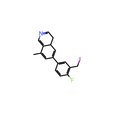 CC1=CC(c2ccc(F)c(CI)c2)=CC2CC=NC=C12